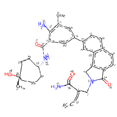 C=C(CN1Cc2c(ccc3ccc(-c4cc(OC)c(N)c(C(=O)N[C@H]5CC[C@@](C)(O)CC5)c4)cc23)C1=O)C(N)=O